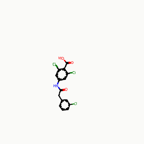 O=C(Cc1cccc(Cl)c1)Nc1cc(Cl)c(C(=O)O)c(Cl)c1